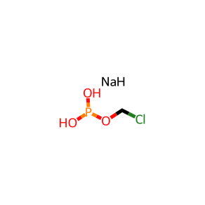 OP(O)OCCl.[NaH]